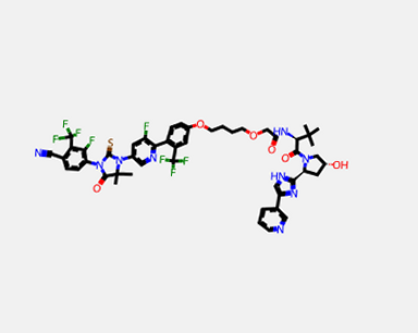 CC(C)(C)[C@H](NC(=O)COCCCCOc1ccc(-c2ncc(N3C(=S)N(c4ccc(C#N)c(C(F)(F)F)c4F)C(=O)C3(C)C)cc2F)c(C(F)(F)F)c1)C(=O)N1C[C@H](O)C[C@H]1c1nc(-c2cccnc2)c[nH]1